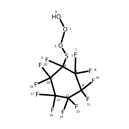 OOOSC1(F)C(F)(F)C(F)(F)C(F)(F)C(F)(F)C1(F)F